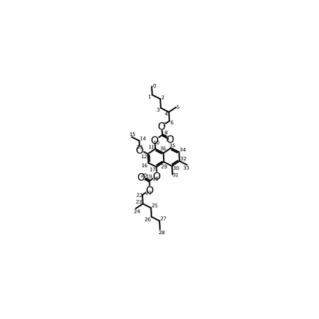 CCCCC(C)COC(=O)Oc1c(OCC)cc(OC(=O)OCC(C)CCCC)c2c(C)c(C)ccc12